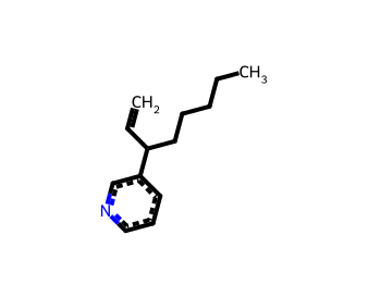 C=CC(CCCCC)c1cccnc1